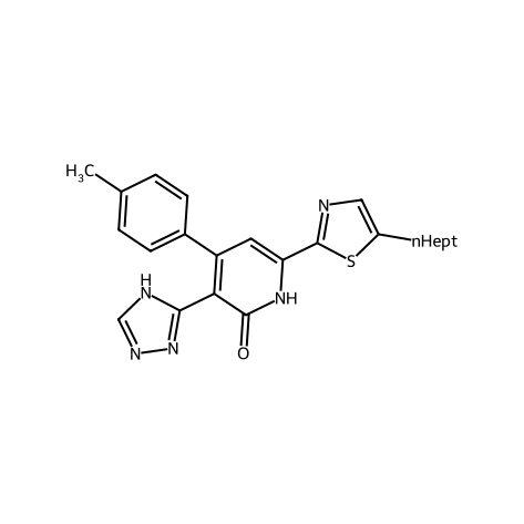 CCCCCCCc1cnc(-c2cc(-c3ccc(C)cc3)c(-c3nnc[nH]3)c(=O)[nH]2)s1